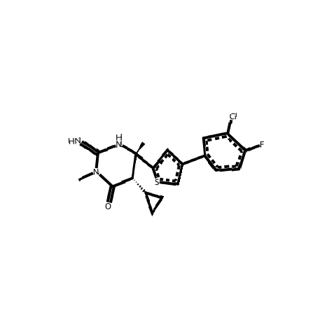 CN1C(=N)N[C@](C)(c2cc(-c3ccc(F)c(Cl)c3)cs2)[C@H](C2CC2)C1=O